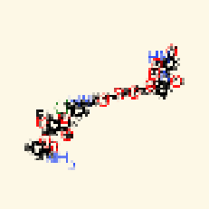 CCOc1cc2oc(-c3ccc(NCCOCCOCCOCCOc4cccc5c4C(=O)N(C4CCC(=O)NC4=O)C5=O)cc3Cl)cc(=O)c2cc1COc1ccccc1C(N)=O